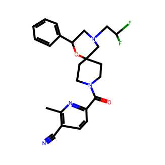 Cc1nc(C(=O)N2CCC3(CC2)CN(CC(F)F)CC(c2ccccc2)O3)ccc1C#N